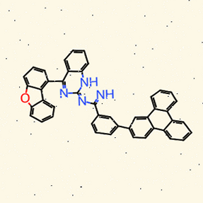 N=C(/N=c1/nc(-c2cccc3oc4ccccc4c23)c2ccccc2[nH]1)c1cccc(-c2ccc3c4ccccc4c4ccccc4c3c2)c1